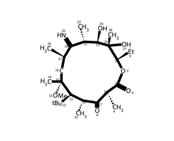 CC[C@H]1OC(=O)[C@H](C)C(=O)[C@H](C)[C@@H](C(C)(C)C)[C@](C)(OC)C[C@@H](C)C(=N)[C@H](C)[C@@H](O)[C@]1(C)O